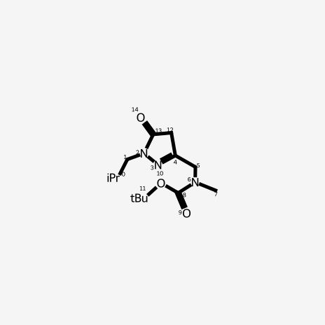 CC(C)CN1N=C(CN(C)C(=O)OC(C)(C)C)CC1=O